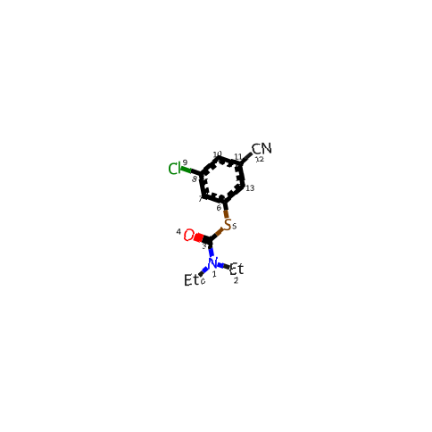 CCN(CC)C(=O)Sc1cc(Cl)cc(C#N)c1